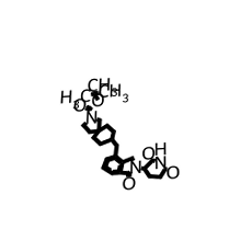 CC(C)(C)OC(=O)N1CCC2(CCC(Cc3cccc4c3CN(C3CCC(=O)NC3=O)C4=O)CC2)C1